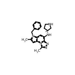 Cc1cc2c(cc(N[C@@H]3CCNC3)c3nnc(C)n32)n1Cc1ccccc1